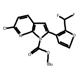 CC(C)(C)OC(=O)n1c(-c2ccoc2C(F)F)cc2ccc(Cl)nc21